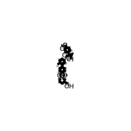 Cc1ccc(NC(=O)C2(c3ccc4c(c3)OCO4)CC2)cc1-c1ccc(S(=O)(=O)N2CCCC(CO)C2)cc1